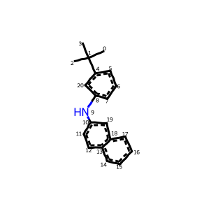 CC(C)(C)c1cccc(Nc2ccc3ccccc3c2)c1